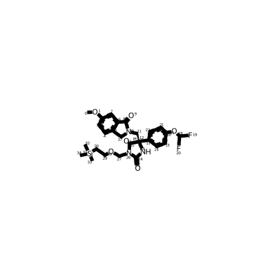 COc1ccc2c(c1)C(=O)N(C[C@@]1(c3ccc(OC(F)F)cc3)NC(=O)N(COCC[Si](C)(C)C)C1=O)C2